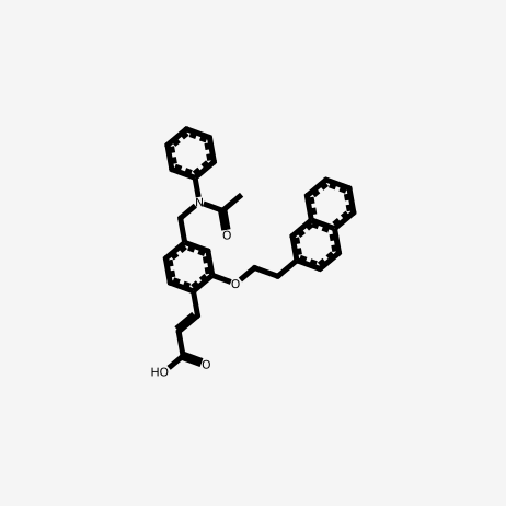 CC(=O)N(Cc1ccc(/C=C/C(=O)O)c(OCCc2ccc3ccccc3c2)c1)c1ccccc1